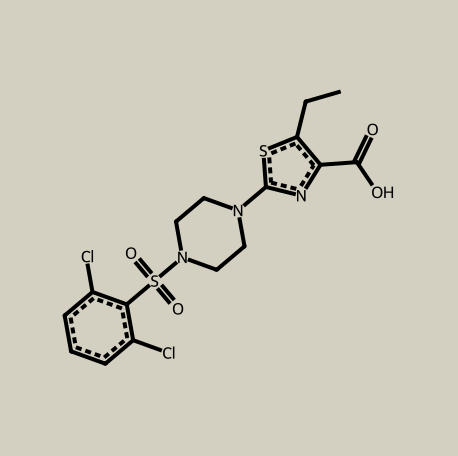 CCc1sc(N2CCN(S(=O)(=O)c3c(Cl)cccc3Cl)CC2)nc1C(=O)O